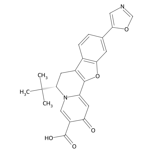 CC(C)(C)[C@@H]1Cc2c(oc3cc(-c4cnco4)ccc23)-c2cc(=O)c(C(=O)O)cn21